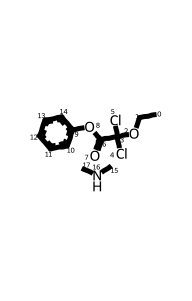 CCOC(Cl)(Cl)C(=O)Oc1ccccc1.CNC